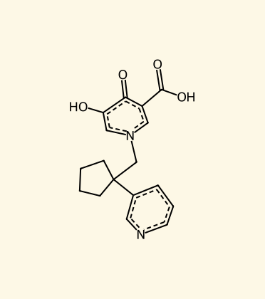 O=C(O)c1cn(CC2(c3cccnc3)CCCC2)cc(O)c1=O